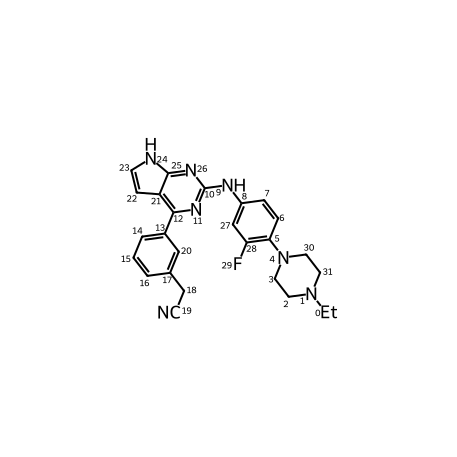 CCN1CCN(c2ccc(Nc3nc(-c4cccc(CC#N)c4)c4cc[nH]c4n3)cc2F)CC1